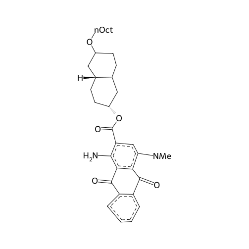 CCCCCCCCOC1CCC2C[C@H](OC(=O)c3cc(NC)c4c(c3N)C(=O)c3ccccc3C4=O)CC[C@@H]2C1